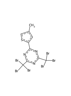 Cc1csc(-c2nc(C(Br)(Br)Br)nc(C(Br)(Br)Br)n2)c1